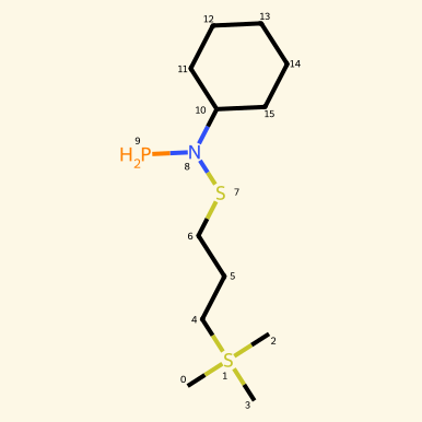 CS(C)(C)CCCSN(P)C1CCCCC1